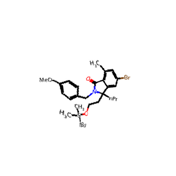 CCCC1(CCO[Si](C)(C)C(C)(C)C)c2cc(Br)cc(C)c2C(=O)N1Cc1ccc(OC)cc1